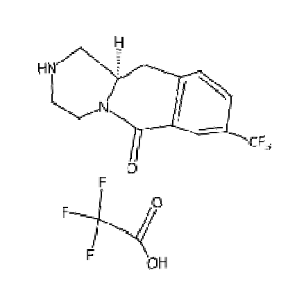 O=C(O)C(F)(F)F.O=C1c2cc(C(F)(F)F)ccc2C[C@@H]2CNCCN12